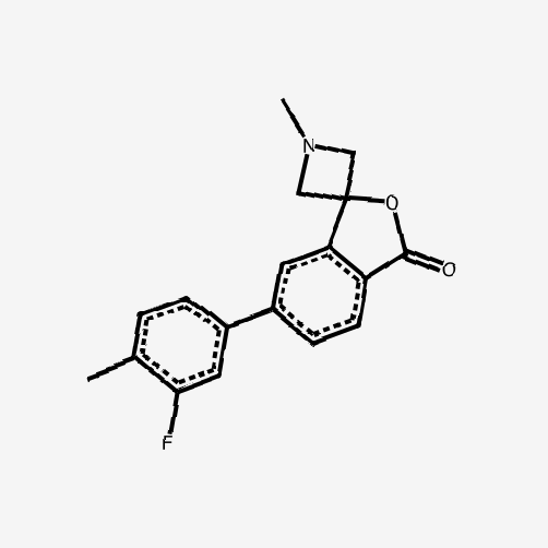 Cc1ccc(-c2ccc3c(c2)C2(CN(C)C2)OC3=O)cc1F